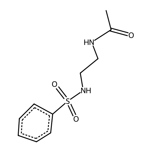 CC(=O)NCCNS(=O)(=O)c1ccccc1